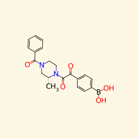 C[C@@H]1CN(C(=O)c2ccccc2)CCN1C(=O)C(=O)c1ccc(B(O)O)cc1